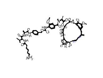 COc1cc(C(=O)N(C)[C@@H](C)C(=O)O[C@H]2CC(=O)N(C)c3cc(cc(OC)c3Cl)C/C(C)=C/C=C/[C@@H](OC)[C@@]3(O)C[C@H](OC(=O)N3)[C@@H](C)[C@@H]3O[C@@]23C)ccc1NC(=O)OCc1ccc(NC(=O)C(C)NC(=O)[C@@H](NC(=O)CCCCCN)C(C)C)cc1